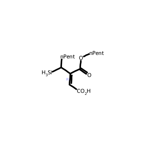 CCCCCOC(=O)/C(=C\C(=O)O)C([SiH3])CCCCC